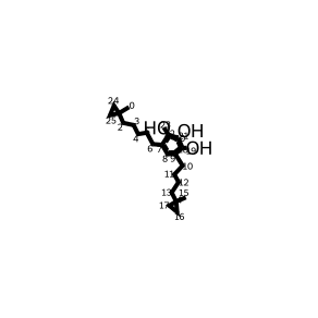 CC1(CCCCCc2cc(CCCCC3(C)CC3)c(O)c(O)c2O)CC1